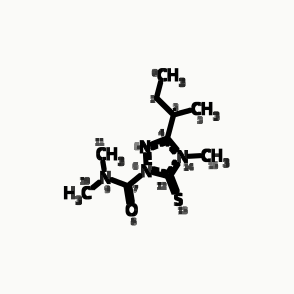 CCC(C)c1nn(C(=O)N(C)C)c(=S)n1C